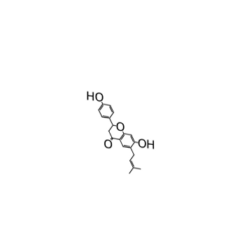 CC(C)=CCc1cc2c(cc1O)OC(c1ccc(O)cc1)CC2=O